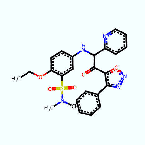 CCOc1ccc(NC(C(=O)c2onnc2-c2ccccc2)c2ccccn2)cc1S(=O)(=O)N(C)C